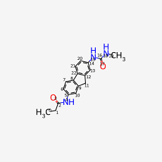 CCC(=O)Nc1ccc2c(c1)Cc1cc(NC(=O)NC)ccc1-2